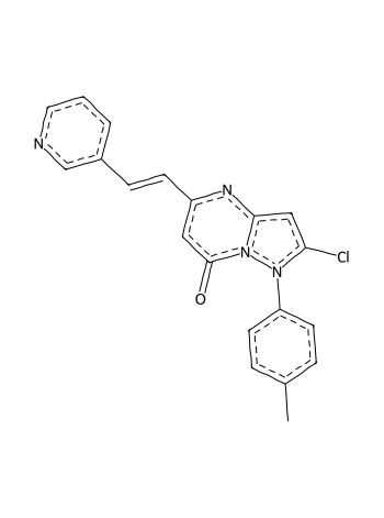 Cc1ccc(-n2c(Cl)cc3nc(/C=C/c4cccnc4)cc(=O)n32)cc1